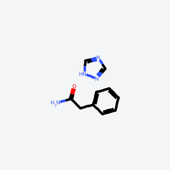 NC(=O)Cc1ccccc1.c1nc[nH]n1